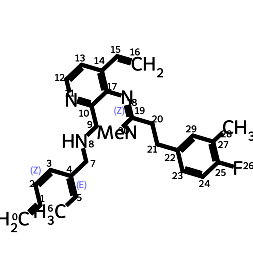 C=C/C=C\C(=C/C)CNCc1nccc(C=C)c1/N=C(/CCc1ccc(F)c(C)c1)NC